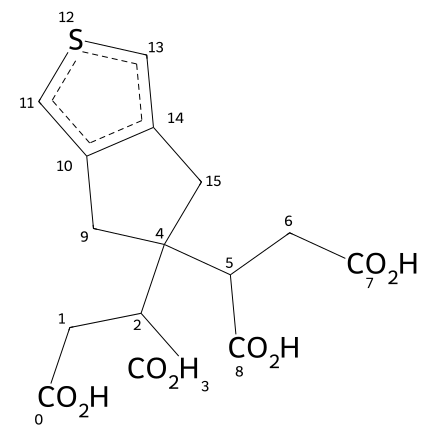 O=C(O)CC(C(=O)O)C1(C(CC(=O)O)C(=O)O)Cc2cscc2C1